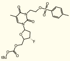 Cc1ccc(S(=O)(=O)OCCn2c(=O)c(C)cn(C3C[C@H](F)C(COC(=O)OC(C)(C)C)O3)c2=O)cc1